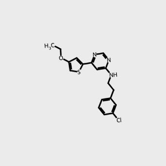 CCOc1csc(-c2cc(NCCc3cccc(Cl)c3)ncn2)c1